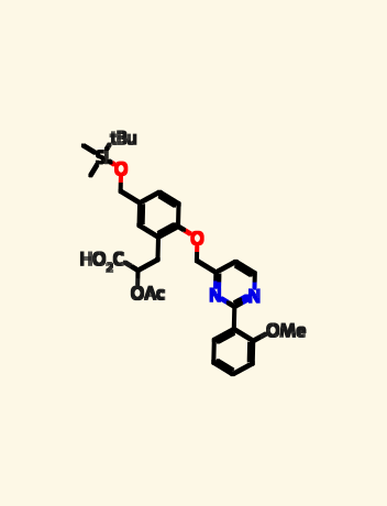 COc1ccccc1-c1nccc(COc2ccc(CO[Si](C)(C)C(C)(C)C)cc2CC(OC(C)=O)C(=O)O)n1